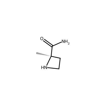 C[C@]1(C(N)=O)CCN1